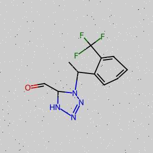 CC(c1ccccc1C(F)(F)F)N1N=NNC1C=O